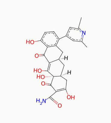 Cc1cc(-c2ccc(O)c3c2C[C@H]2C[C@H]4CC(O)=C(C(N)=O)C(=O)[C@@]4(O)C(O)=C2C3=O)cc(C)n1